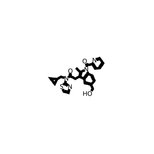 Cc1c(CC(=O)N(CC2CC2)c2nccs2)c2cc(CO)ccc2n1C(=O)c1ccccn1